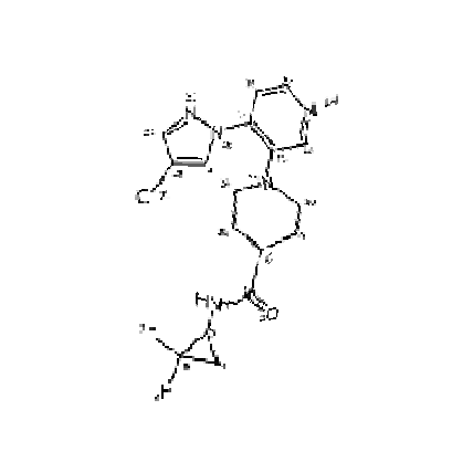 O=C(NC1CC1(F)F)C1CCN(c2cnccc2-n2cc(Cl)cn2)CC1